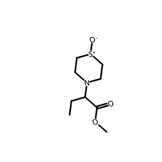 CCC(C(=O)OC)N1CC[S+]([O-])CC1